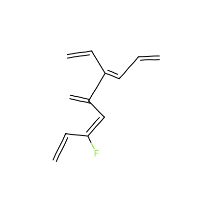 C=C/C=C(\C=C)C(=C)/C=C(/F)C=C